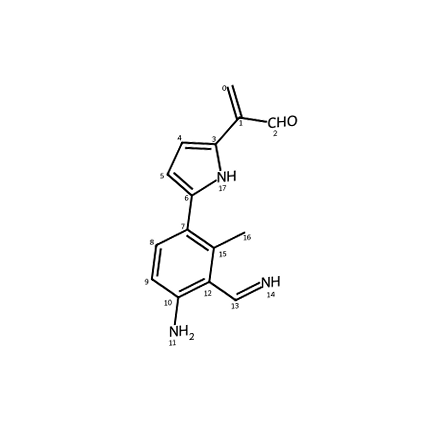 C=C(C=O)c1ccc(-c2ccc(N)c(C=N)c2C)[nH]1